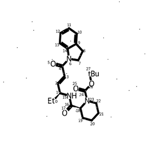 CC[C@@H](/C=C/C(=O)N1CCc2ccccc21)NC(=O)[C@@H]1CCCCN1C(=O)OC(C)(C)C